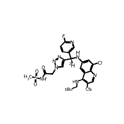 [2H][C@](Nc1cc(Cl)c2ncc(C#N)c(NCC(C)(C)C)c2c1)(c1ccc(F)nc1)c1cn(CC(=O)NS(C)(=O)=O)nn1